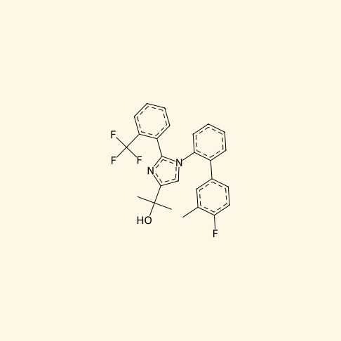 Cc1cc(-c2ccccc2-n2cc(C(C)(C)O)nc2-c2ccccc2C(F)(F)F)ccc1F